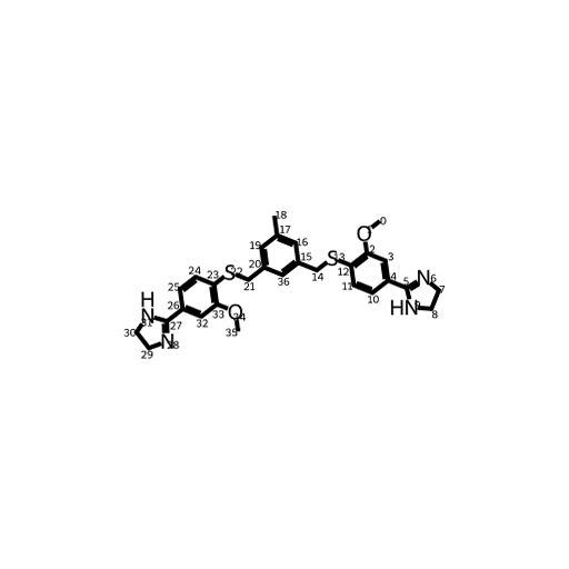 COc1cc(C2=NCCN2)ccc1SCc1cc(C)cc(CSc2ccc(C3=NCCN3)cc2OC)c1